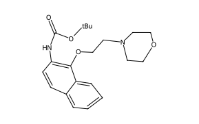 CC(C)(C)OC(=O)Nc1ccc2ccccc2c1OCCN1CCOCC1